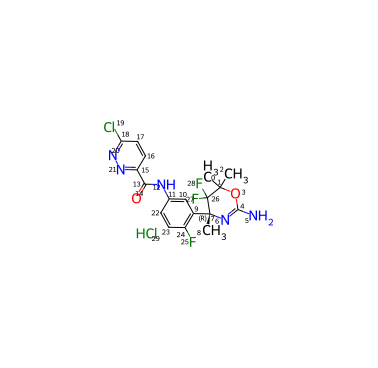 CC1(C)OC(N)=N[C@](C)(c2cc(NC(=O)c3ccc(Cl)nn3)ccc2F)C1(F)F.Cl